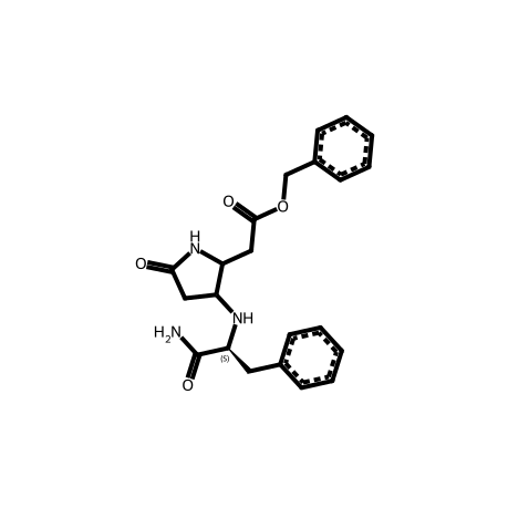 NC(=O)[C@H](Cc1ccccc1)NC1CC(=O)NC1CC(=O)OCc1ccccc1